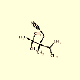 CC(C)C(C)(CC#N)C(C)(C)C